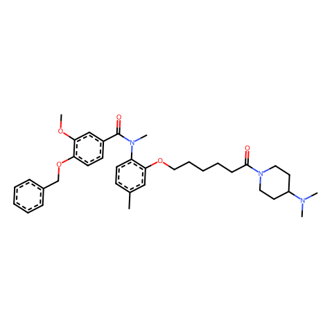 COc1cc(C(=O)N(C)c2ccc(C)cc2OCCCCCC(=O)N2CCC(N(C)C)CC2)ccc1OCc1ccccc1